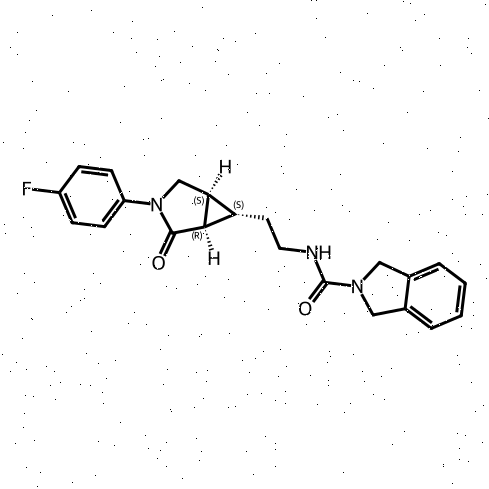 O=C(NCC[C@H]1[C@@H]2CN(c3ccc(F)cc3)C(=O)[C@H]12)N1Cc2ccccc2C1